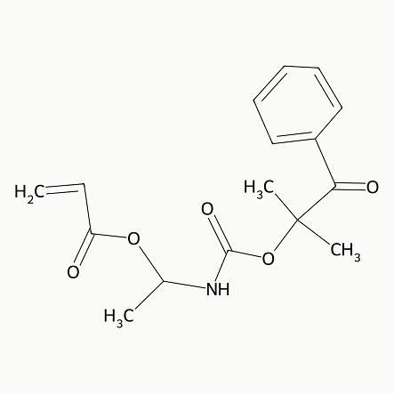 C=CC(=O)OC(C)NC(=O)OC(C)(C)C(=O)c1ccccc1